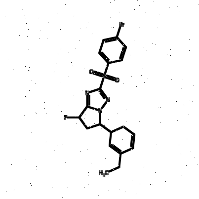 CCC1=CC(C2CC(F)c3nc(S(=O)(=O)c4ccc(Br)cc4)nn32)CC=C1